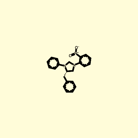 O=[N+]([O-])c1ccccc1N1C[C@H](Cc2ccccc2)N(c2ccccc2)C1